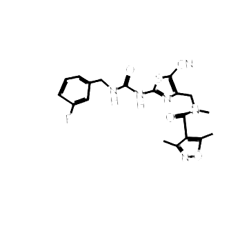 Cc1noc(C)c1C(=O)N(C)Cc1nc(NC(=O)NCc2cccc(F)c2)sc1C#N